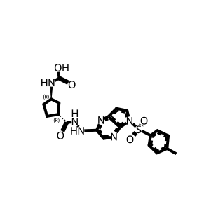 Cc1ccc(S(=O)(=O)n2ccc3nc(NNC(=O)[C@@H]4CC[C@@H](NC(=O)O)C4)cnc32)cc1